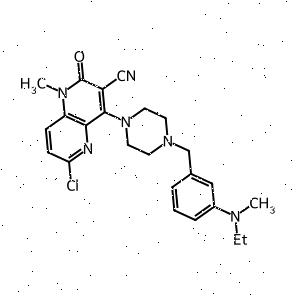 CCN(C)c1cccc(CN2CCN(c3c(C#N)c(=O)n(C)c4ccc(Cl)nc34)CC2)c1